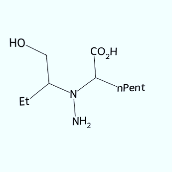 CCCCCC(C(=O)O)N(N)C(CC)CO